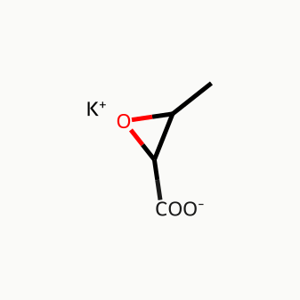 CC1OC1C(=O)[O-].[K+]